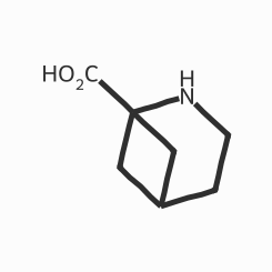 O=C(O)C12CC(CCN1)C2